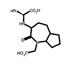 CCC[C@H](NC1CCC2CCCC2N(CC(=O)O)C1=O)C(=O)O